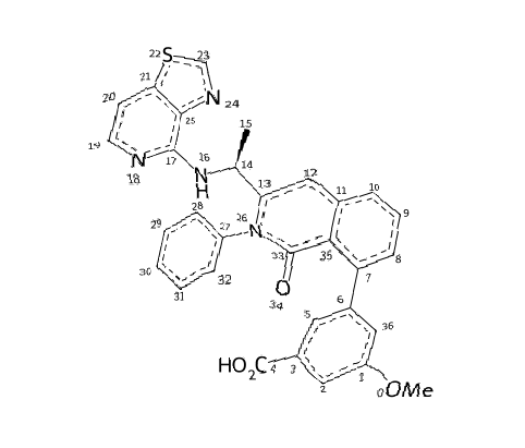 COc1cc(C(=O)O)cc(-c2cccc3cc([C@H](C)Nc4nccc5scnc45)n(-c4ccccc4)c(=O)c23)c1